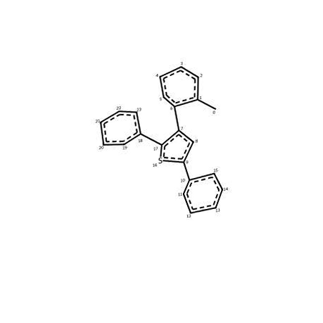 Cc1ccccc1-c1cc(-c2ccccc2)sc1-c1ccccc1